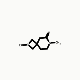 CCN1CC2(CCN(C)C(=O)C2)C1